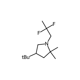 CC(F)(F)CN1CC(C(C)(C)C)CC1(C)C